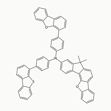 CC1(C)c2cc(N(c3ccc(-c4cccc5c4oc4ccccc45)cc3)c3ccc(-c4cccc5c4sc4ccccc45)cc3)ccc2-c2c1ccc1c2oc2ccccc21